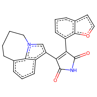 O=C1NC(=O)C(c2cccc3ccoc23)=C1c1cn2c3c(cccc13)CCCC2